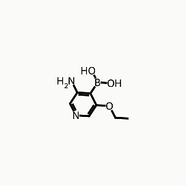 CCOc1cncc(N)c1B(O)O